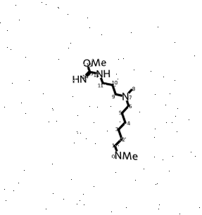 CNCCCCCCN(C)CCCNC(=N)OC